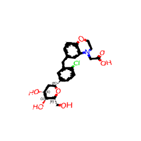 O=C(O)CN1CCOc2ccc(Cc3cc([C@H]4C[C@@H](O)[C@H](O)[C@@H](CO)O4)ccc3Cl)cc21